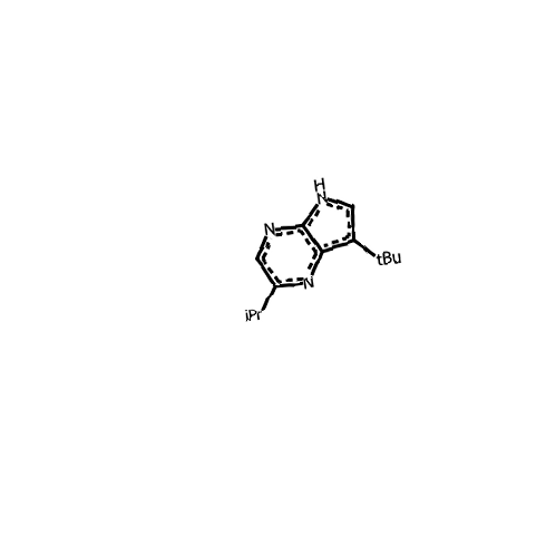 CC(C)c1cnc2[nH]cc(C(C)(C)C)c2n1